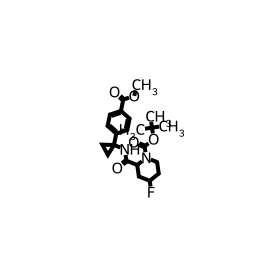 COC(=O)c1ccc(C2(NC(=O)C3CC(F)CCN3C(=O)OC(C)(C)C)CC2)cc1